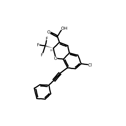 O=C(O)C1=Cc2cc(Cl)cc(C#Cc3ccccc3)c2O[C@@H]1C(F)(F)F